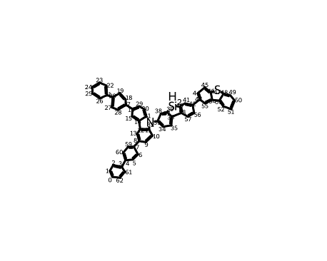 c1ccc(-c2ccc(-c3ccc4c(c3)c3cc(-c5ccc(-c6ccccc6)cc5)ccc3n4-c3ccc4c(c3)[SiH2]c3cc(-c5ccc6sc7ccccc7c6c5)ccc3-4)cc2)cc1